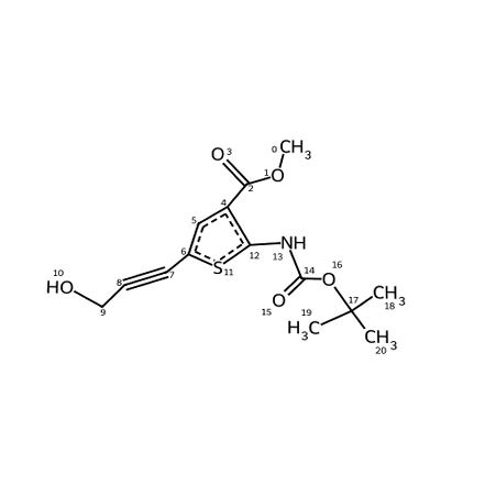 COC(=O)c1cc(C#CCO)sc1NC(=O)OC(C)(C)C